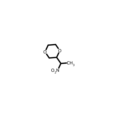 CC(C1COCCO1)[N+](=O)[O-]